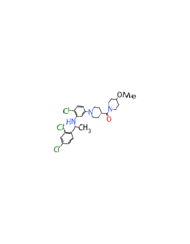 COC1CCN(C(=O)C2CCN(c3ccc(Cl)c(NC(C)c4ccc(Cl)cc4Cl)c3)CC2)CC1